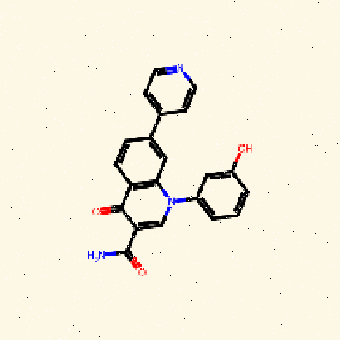 NC(=O)c1cn(-c2cccc(O)c2)c2cc(-c3ccncc3)ccc2c1=O